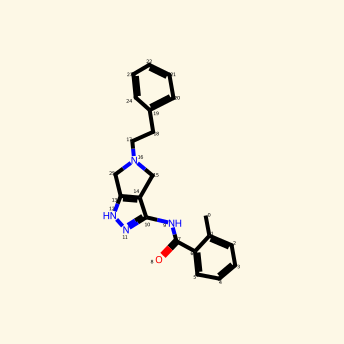 Cc1ccccc1C(=O)Nc1n[nH]c2c1CN(CCc1ccccc1)C2